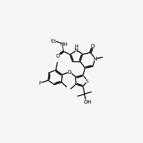 CCNC(=O)c1cc2c(-c3sc(C(C)(C)O)c(C)c3Oc3c(C)cc(F)cc3C)cn(C)c(=O)c2[nH]1